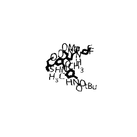 COC(=O)c1nc(C(=O)NC2CC(F)(F)C2)ccc1-c1cc2c(cc1C(=O)Nc1c(C)cc(CNC(=O)OC(C)(C)C)cc1C)-c1sccc1CCO2